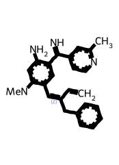 C=C/C(=C\c1cc(C(=N)c2ccnc(C)c2)c(N)cc1NC)Cc1ccccc1